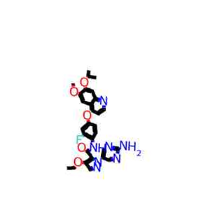 CCOc1cnn(-c2cnc(N)nc2)c1C(=O)Nc1ccc(Oc2ccnc3cc(OC(C)C)c(OC)cc23)cc1F